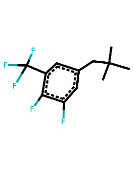 CC(C)(C)Cc1cc(F)c(F)c(C(F)(F)F)c1